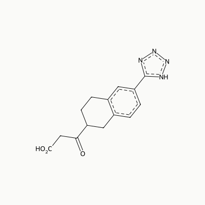 O=C(O)CC(=O)C1CCc2cc(-c3nnn[nH]3)ccc2C1